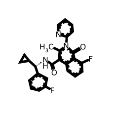 Cc1c(C(=O)N[C@H](c2cccc(F)c2)C2CC2)c2cccc(F)c2c(=O)n1-c1ccccn1